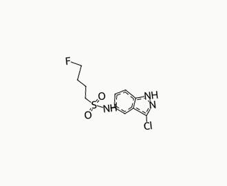 O=S(=O)(CCCCF)Nc1ccc2[nH]nc(Cl)c2c1